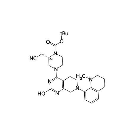 CN1CCCc2cccc(N3CCc4c(nc(O)nc4N4CCN(C(=O)OC(C)(C)C)[C@@H](CC#N)C4)C3)c21